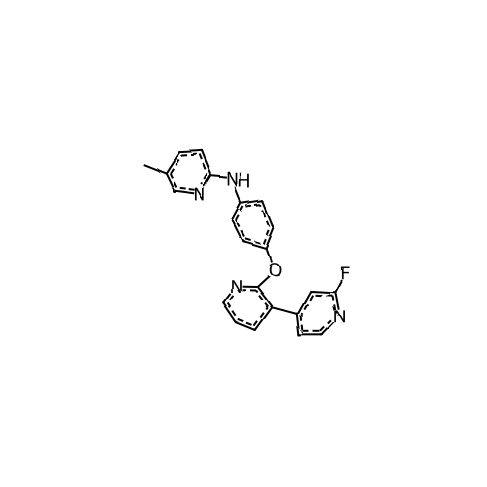 Cc1ccc(Nc2ccc(Oc3ncccc3-c3ccnc(F)c3)cc2)nc1